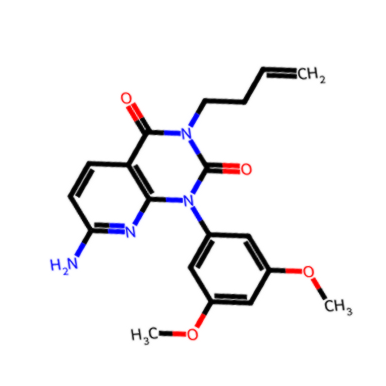 C=CCCn1c(=O)c2ccc(N)nc2n(-c2cc(OC)cc(OC)c2)c1=O